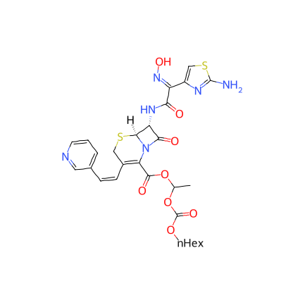 CCCCCCOC(=O)OC(C)OC(=O)C1=C(/C=C\c2cccnc2)CS[C@H]2[C@H](NC(=O)C(=NO)c3csc(N)n3)C(=O)N12